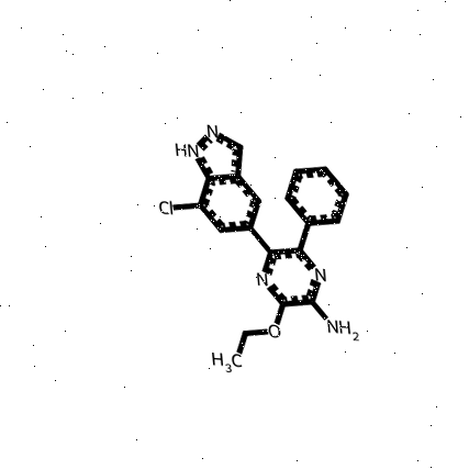 CCOc1nc(-c2cc(Cl)c3[nH]ncc3c2)c(-c2ccccc2)nc1N